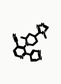 CC1CC(c2nncn2C)CCN1c1c(C#N)ccnc1-c1ccnnc1